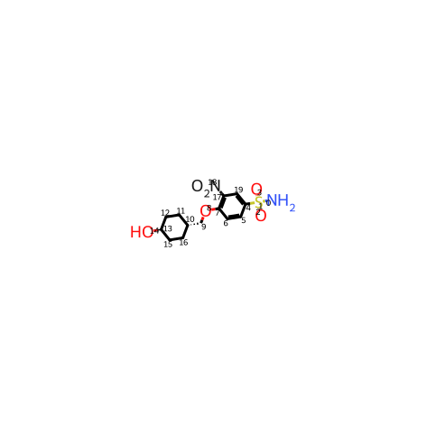 NS(=O)(=O)c1ccc(OC[C@H]2CC[C@H](O)CC2)c([N+](=O)[O-])c1